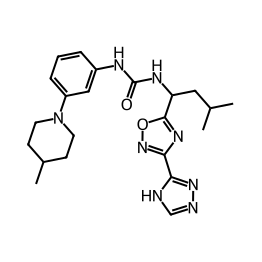 CC(C)CC(NC(=O)Nc1cccc(N2CCC(C)CC2)c1)c1nc(-c2nnc[nH]2)no1